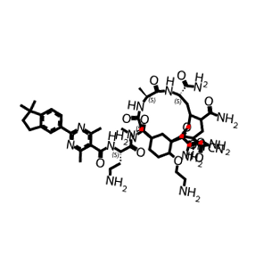 Cc1nc(-c2ccc3c(c2)CCC3(C)C)nc(C)c1C(=O)N[C@@H](CCN)C(=O)N(C)[C@@H]1C(=O)N[C@@H](C)C(=O)N[C@H](C(N)=O)CC2CC(C(N)=O)(C(O)(C(N)=O)CC2C(N)=O)C2(C(=O)NCC#N)CC1(C(N)=O)CCC2OCCN